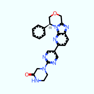 O=C1CN(c2ncc(-c3ccc4nc5n(c4n3)[C@@H](c3ccccc3)COC5)cn2)CCN1